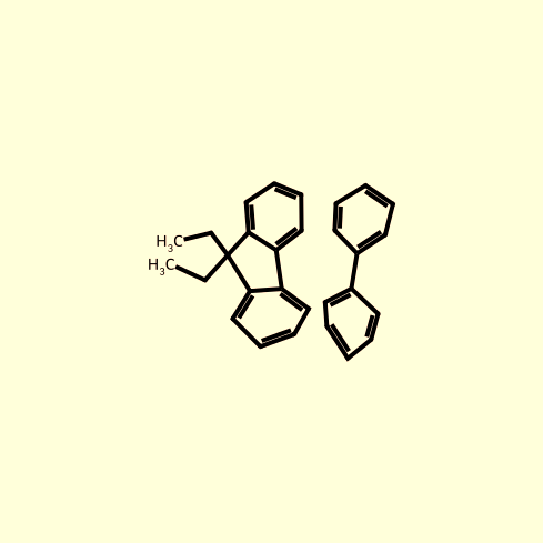 CCC1(CC)c2ccccc2-c2ccccc21.c1ccc(-c2ccccc2)cc1